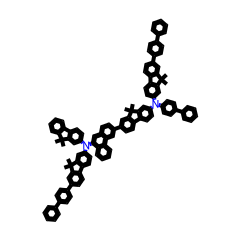 CC1(C)c2cc(-c3ccc(-c4ccccc4)cc3)ccc2-c2ccc(N(c3ccc(-c4ccccc4)cc3)c3ccc4c(c3)C(C)(C)c3cc(-c5ccc6cc(N(c7ccc8c(c7)C(C)(C)c7ccccc7-8)c7ccc8c(c7)C(C)(C)c7cc(-c9ccc(-c%10ccccc%10)cc9)ccc7-8)c7ccccc7c6c5)ccc3-4)cc21